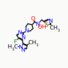 Cc1ncc(CN(O)C(=O)C2CCN(c3ncc(F)c(-c4c(C)cnn4C)n3)CC2)s1